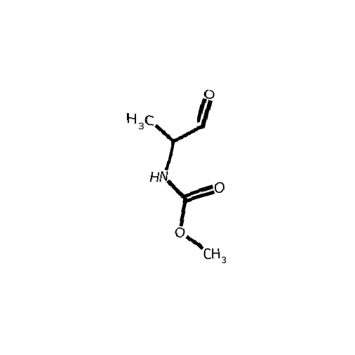 COC(=O)NC(C)C=O